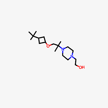 CC(C)(C)C1CC(OCC(C)(C)N2CCN(CCO)CC2)C1